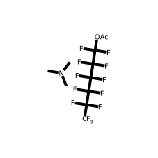 CC(=O)OC(F)(F)C(F)(F)C(F)(F)C(F)(F)C(F)(F)C(F)(F)F.CN(C)C